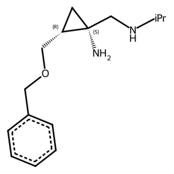 CC(C)NC[C@]1(N)C[C@H]1COCc1ccccc1